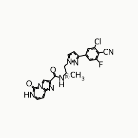 C[C@@H](Cn1ccc(-c2cc(F)c(C#N)c(Cl)c2)n1)NC(=O)c1cn2c(=O)[nH]ccc2n1